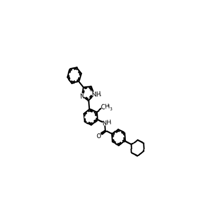 Cc1c(NC(=O)c2ccc(C3CCCCC3)cc2)cccc1-c1nc(-c2ccccc2)c[nH]1